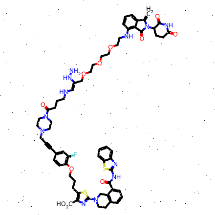 C=C1c2cccc(NCCOCCOCCOC/C(=C/NCCCC(=O)N3CCN(CC#Cc4ccc(OCCCc5sc(N6CCc7cccc(C(=O)Nc8nc9ccccc9s8)c7C6)nc5C(=O)O)c(F)c4)CC3)NN)c2C(=O)N1C1CCC(=O)NC1=O